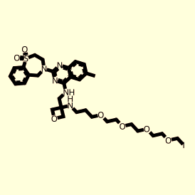 Cc1ccc2nc(N3CCS(=O)(=O)c4ccccc4C3)nc(NCC3(NCCCOCCOCCOCCOCI)COC3)c2c1